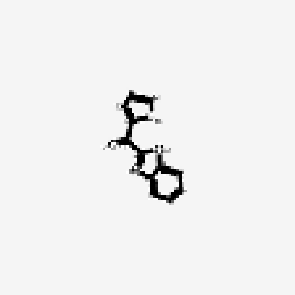 O=C(c1nc2ccccc2o1)c1cccs1